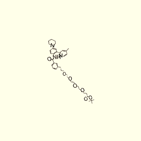 Cc1ccnc(-c2cc(N3CCCCC3)ccc2NC(=O)c2cccc(CCCOCCOCCOCCOCCC(=O)OC(C)(C)C)c2)c1